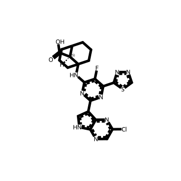 O=C(O)[C@H]1C2CCCC1(Nc1nc(-c3c[nH]c4ncc(Cl)nc34)nc(-c3nncs3)c1F)CCC2